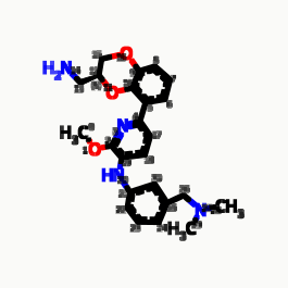 COc1nc(-c2cccc3c2O[C@@H](CN)CO3)ccc1Nc1cccc(CN(C)C)c1